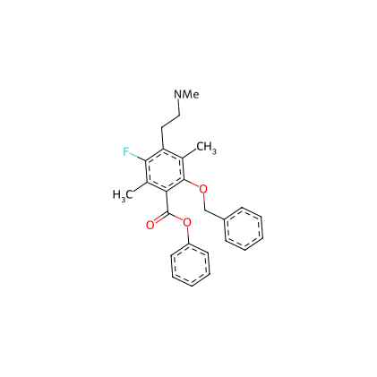 CNCCc1c(C)c(OCc2ccccc2)c(C(=O)Oc2ccccc2)c(C)c1F